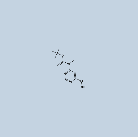 CN(C(=O)OC(C)(C)C)c1cc(NN)ncn1